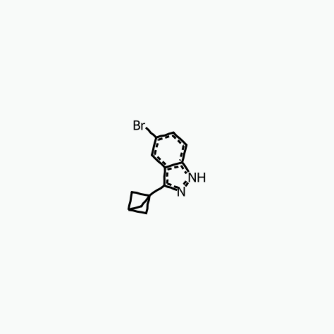 Brc1ccc2[nH]nc(C34CC(C3)C4)c2c1